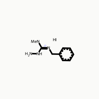 CN/C(=N/Cc1ccccc1)NN.I